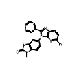 O=c1[nH]c2ccc(-n3c(-c4ccccc4)nc4ccc(Br)nc43)cc2s1